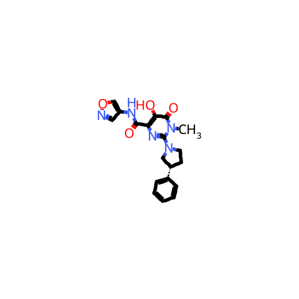 Cn1c(N2CC[C@H](c3ccccc3)C2)nc(C(=O)Nc2cnoc2)c(O)c1=O